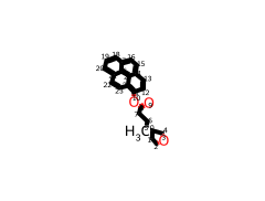 C1CCOC1.CCCC(=O)Oc1ccc2ccc3cccc4ccc1c2c34